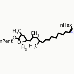 CCCCCC/C=C\CCCCCCCCC(C)CC(C)CC(C)CC(C)C(=O)OCCCCC